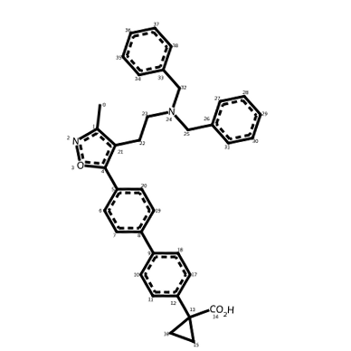 Cc1noc(-c2ccc(-c3ccc(C4(C(=O)O)CC4)cc3)cc2)c1CCN(Cc1ccccc1)Cc1ccccc1